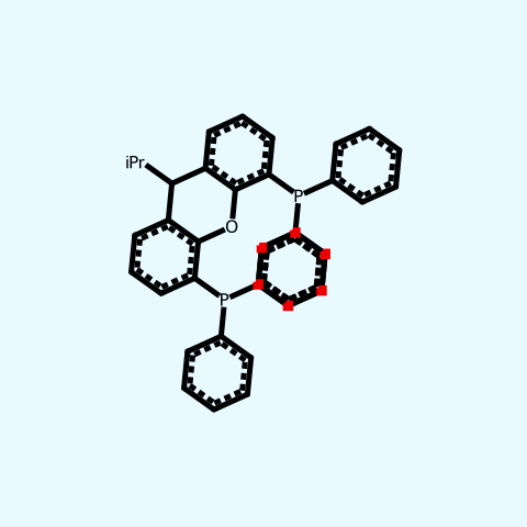 CC(C)C1c2cccc(P(c3ccccc3)c3ccccc3)c2Oc2c1cccc2P(c1ccccc1)c1ccccc1